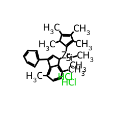 CC1=C(C)C(C)[C]([Zr]([CH]2C=C(c3ccccc3)c3c(C)ccc(C)c32)=[Si](C)C)=C1C.Cl.Cl